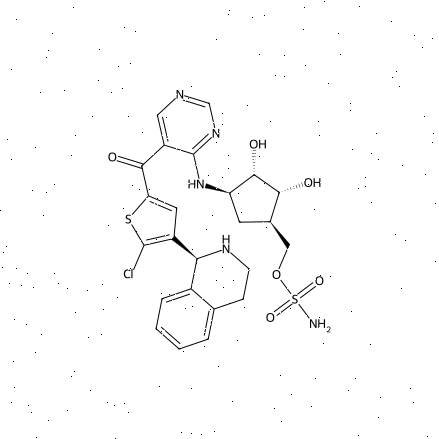 NS(=O)(=O)OC[C@H]1C[C@@H](Nc2ncncc2C(=O)c2cc([C@H]3NCCc4ccccc43)c(Cl)s2)[C@H](O)[C@@H]1O